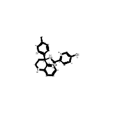 Cc1ccc([C@@]2(NC(=O)c3ccc(O)cn3)CCOc3cccnc32)cc1